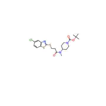 CN(C(=O)CCSc1nc2cc(Cl)ccc2s1)C1CCN(C(=O)OC(C)(C)C)CC1